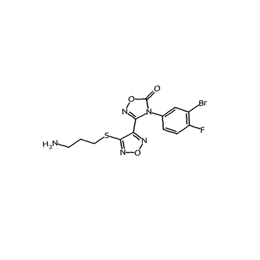 NCCCSc1nonc1-c1noc(=O)n1-c1ccc(F)c(Br)c1